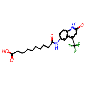 O=C(O)CCCCCCCCC(=O)Nc1ccc2[nH]c(=O)cc(C(F)(F)F)c2c1